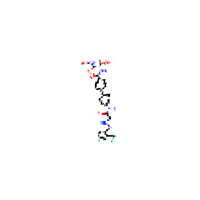 C[C@@H](O)[C@H](NC(=O)c1ccc(-c2ccc(NC(=O)CNCc3ccc(F)cc3C(F)(F)F)cc2)cc1)C(=O)NO